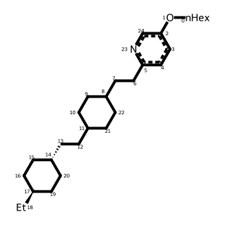 CCCCCCOc1ccc(CCC2CCC(CC[C@H]3CC[C@H](CC)CC3)CC2)nc1